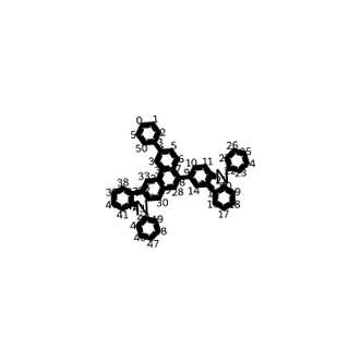 c1ccc(-c2ccc3c(-c4ccc5c(c4)c4ccccc4n5-c4ccccc4)cc4cc5c(cc4c3c2)c2ccccc2n5-c2ccccc2)cc1